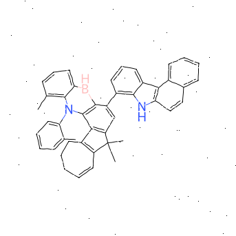 Cc1ccccc1N1c2c(C)cccc2Bc2c(-c3cccc4c3[nH]c3ccc5ccccc5c34)cc3c(c21)C1=C(C=CCCC1)C3(C)C